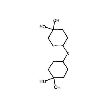 OC1(O)CCC(SC2CCC(O)(O)CC2)CC1